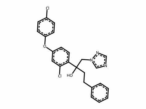 OC(CCc1ccccc1)(Cn1cncn1)c1ccc(Oc2ccc(Cl)cc2)cc1Cl